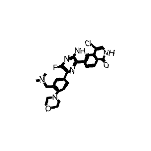 CN(C)Cc1cc(-c2nc(-c3ccc4c(=O)[nH]cc(Cl)c4c3)c(N)nc2F)ccc1N1CCOCC1